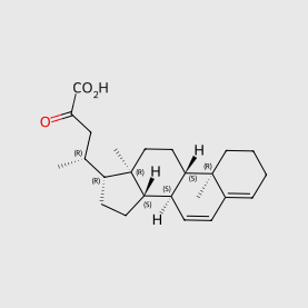 C[C@H](CC(=O)C(=O)O)[C@H]1CC[C@H]2[C@@H]3C=CC4=CCCC[C@]4(C)[C@H]3CC[C@]12C